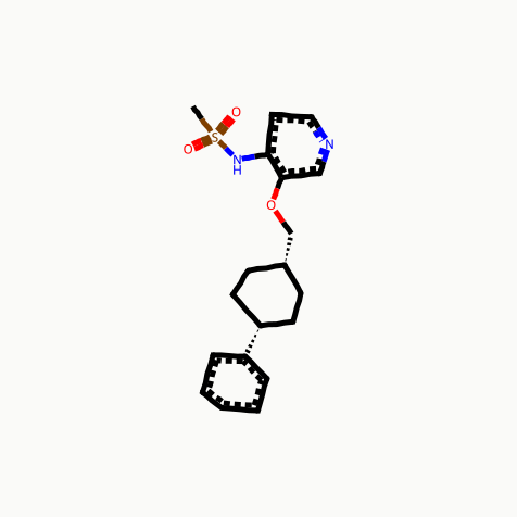 CS(=O)(=O)Nc1ccncc1OC[C@H]1CC[C@@H](c2ccccc2)CC1